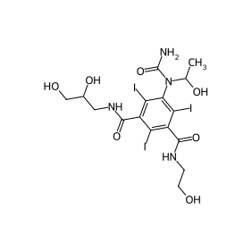 CC(O)N(C(N)=O)c1c(I)c(C(=O)NCCO)c(I)c(C(=O)NCC(O)CO)c1I